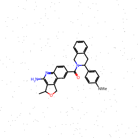 CNc1ccc(C2Cc3ccccc3CN2C(=O)c2ccc3nc(N)c4c(c3c2)COC4C)cc1